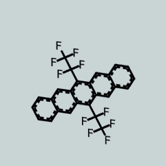 FC(F)(F)C(F)(F)c1c2cc3ccccc3cc2c(C(F)(F)C(F)(F)F)c2cc3ccccc3cc12